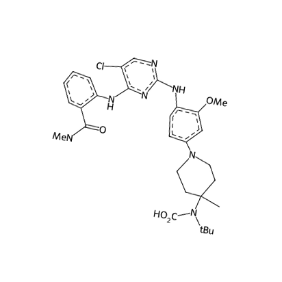 CNC(=O)c1ccccc1Nc1nc(Nc2ccc(N3CCC(C)(N(C(=O)O)C(C)(C)C)CC3)cc2OC)ncc1Cl